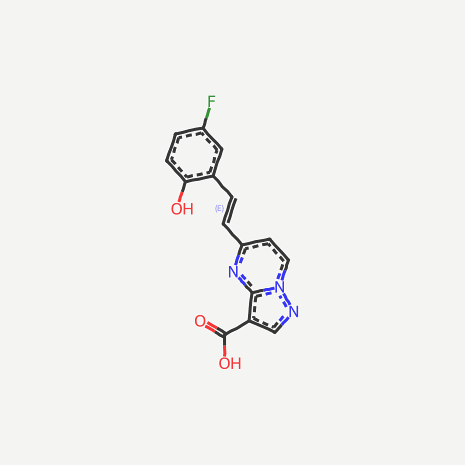 O=C(O)c1cnn2ccc(/C=C/c3cc(F)ccc3O)nc12